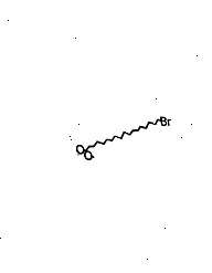 COC(CCCCCCCCCCCCCCCCCBr)OC